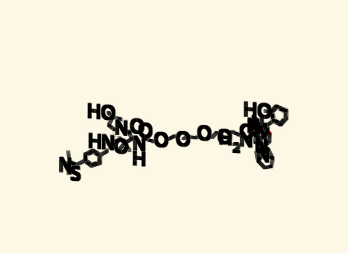 Cc1ncsc1-c1ccc(CNC(=O)[C@@H]2C[C@@H](O)CN2C(=O)[C@@H](NC(=O)COCCOCCOCCOCCOc2cc(N3C4CCC3CN(c3cc(-c5ccccc5O)nnc3N)C4)ccn2)C(C)(C)C)cc1